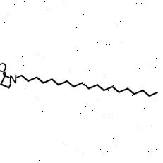 CCCCCCCCCCCCCCCCCCCN1CCC1=O